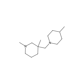 CC1CCN(CC2(C)CCCN(C)C2)CC1